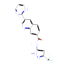 Cn1nc(C(F)(F)F)cc1NC(=O)c1ccc2cc(-c3ncccn3)cnc2c1